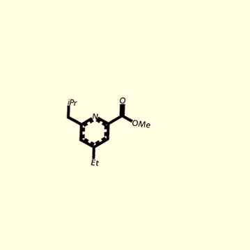 CCc1cc(CC(C)C)nc(C(=O)OC)c1